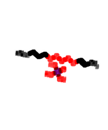 CC=COOOOOCCCCCCCCCCCC.O=P(O)(O)O